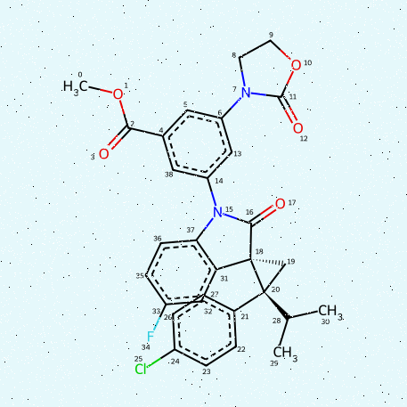 COC(=O)c1cc(N2CCOC2=O)cc(N2C(=O)[C@]3(C[C@@]3(c3ccc(Cl)cc3)C(C)C)c3cc(F)ccc32)c1